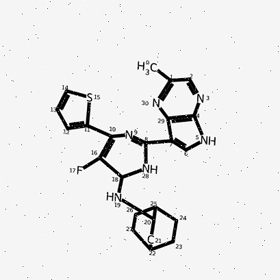 Cc1cnc2[nH]cc(C3=NC(c4cccs4)=C(F)C(NC4CC5CCC4CC5)N3)c2n1